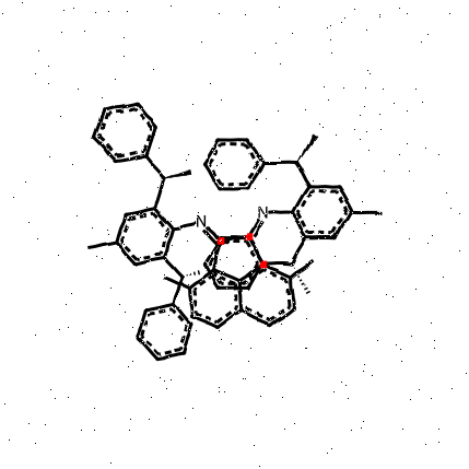 Cc1cc([C@H](C)c2ccccc2)c(/N=C2/C(=N/c3c([C@H](C)c4ccccc4)cc(C)cc3[C@H](C)c3ccccc3)c3c(C)ccc4ccc(C)c2c34)c([C@H](C)c2ccccc2)c1